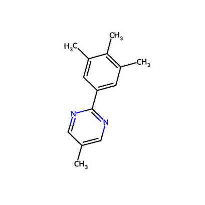 Cc1cnc(-c2cc(C)c(C)c(C)c2)nc1